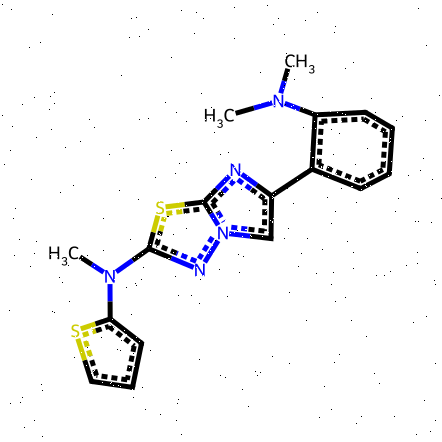 CN(C)c1ccccc1-c1cn2nc(N(C)c3cccs3)sc2n1